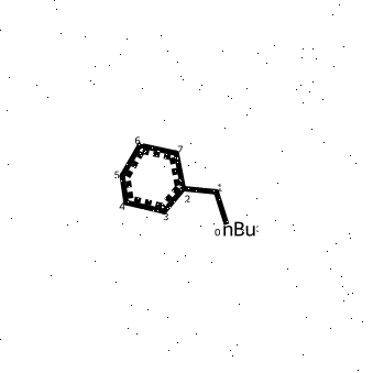 CC[CH][C]Cc1ccccc1